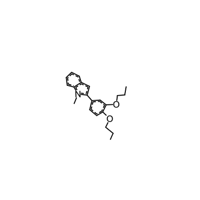 CCCOc1ccc(-c2cc3ccccc3n2C)cc1OCCC